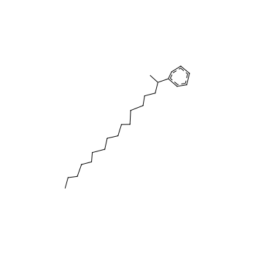 CCCCCCCCCCCCCCCC(C)c1ccccc1